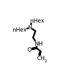 C=CC(=O)NCCN(CCCCCC)CCCCCC